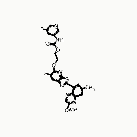 COc1cnc2c(-c3nc4cc(F)c(OCCOC(=O)Nc5cncc(F)c5)nc4s3)cc(C)cc2n1